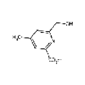 CCOC(=O)c1cc(C)cc(CO)n1